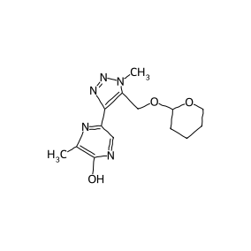 Cc1nc(-c2nnn(C)c2COC2CCCCO2)cnc1O